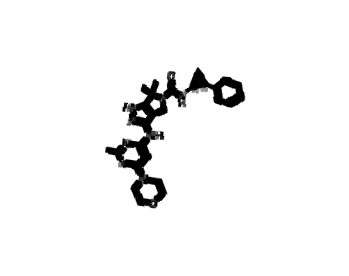 Cc1nc(Nc2n[nH]c3c2CN(C(=O)N[C@@H]2C[C@H]2c2ccccc2)C3(C)C)cc(N2CCOCC2)n1